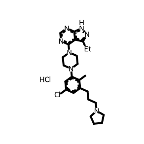 CCc1n[nH]c2ncnc(N3CCN(c4cc(Cl)cc(CCCN5CCCC5)c4C)CC3)c12.Cl